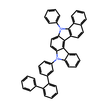 c1ccc(-c2ccccc2-c2cccc(-n3c4ccccc4c4c5c6ccc7ccccc7c6n(-c6ccccc6)c5ccc43)c2)cc1